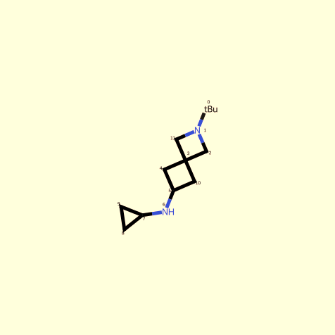 CC(C)(C)N1CC2(CC(NC3CC3)C2)C1